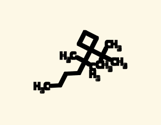 CCCCC(C)(C)C1(C(C)(C)C)CCC1